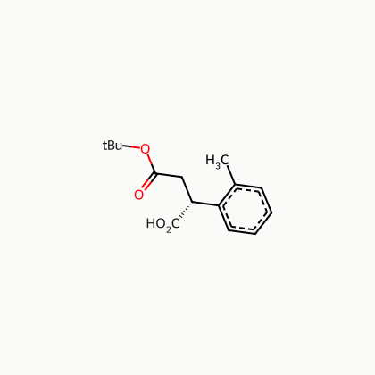 Cc1ccccc1[C@@H](CC(=O)OC(C)(C)C)C(=O)O